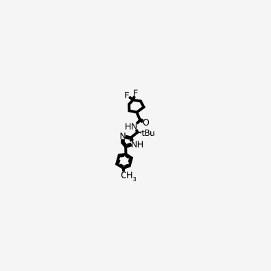 Cc1ccc(-c2cnc([C@@H](NC(=O)C3CCC(F)(F)CC3)C(C)(C)C)[nH]2)cc1